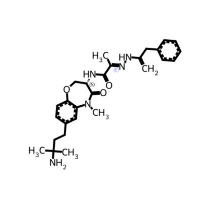 C=C(Cc1ccccc1)N/N=C(\C)C(=O)N[C@H]1COc2ccc(CCC(C)(C)N)cc2N(C)C1=O